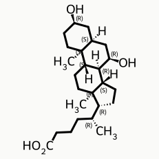 C[C@H](CCCC(=O)O)[C@H]1CC[C@H]2[C@@H]3[C@H](O)C[C@@H]4C[C@H](O)CC[C@]4(C)[C@H]3CC[C@]12C